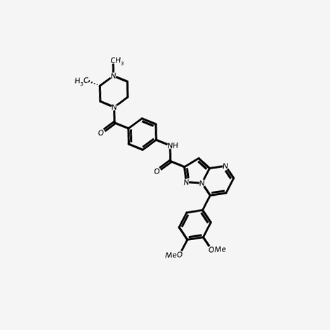 COc1ccc(-c2ccnc3cc(C(=O)Nc4ccc(C(=O)N5CCN(C)[C@@H](C)C5)cc4)nn23)cc1OC